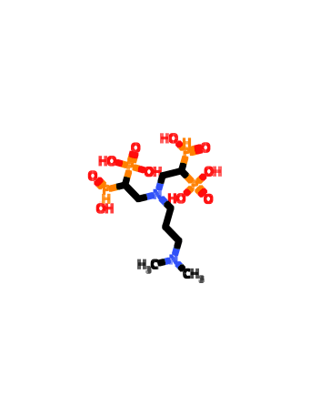 CN(C)CCCN(CC([PH](=O)O)P(=O)(O)O)CC([PH](=O)O)P(=O)(O)O